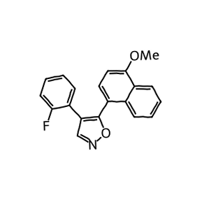 COc1ccc(-c2oncc2-c2ccccc2F)c2ccccc12